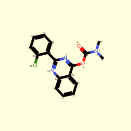 CN(C)C(=O)Oc1nc(-c2ccccc2Cl)nc2ccccc12